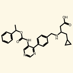 CC(OC(=O)Nc1cncnc1-c1ccc(CNC(CC(=O)O)CC2CC2)cc1)c1ccccc1